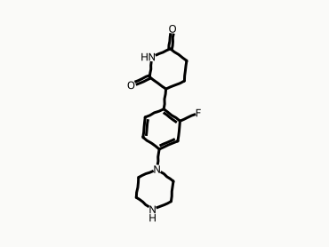 O=C1CCC(c2ccc(N3CCNCC3)cc2F)C(=O)N1